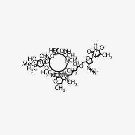 CC[C@H]1OC(=O)[C@H](C)[C@@H](O[C@H]2C[C@@](C)(OC)[C@@H](O)[C@H](C)O2)[C@H](C)[C@@H](O[C@@H]2O[C@H](C)CC(N(C)CCCCC(=O)OC[C@H]3O[C@@H](n4cc(C)c(=O)[nH]c4=O)C[C@@H]3N=[N+]=[N-])[C@H]2O)[C@](C)(O)C[C@@H](C)CN(C)[C@H](C)[C@@H](O)[C@]1(C)O